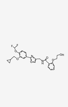 O=C(NCc1coc(-c2ccc(OC(F)F)c(OCC3CC3)c2)n1)c1ccccc1OCCO